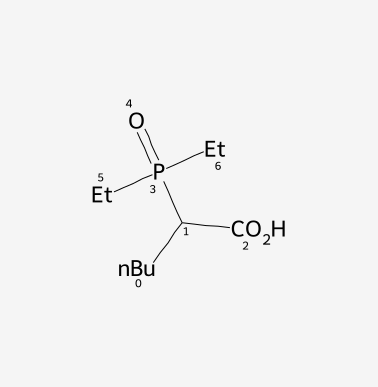 CCCCC(C(=O)O)P(=O)(CC)CC